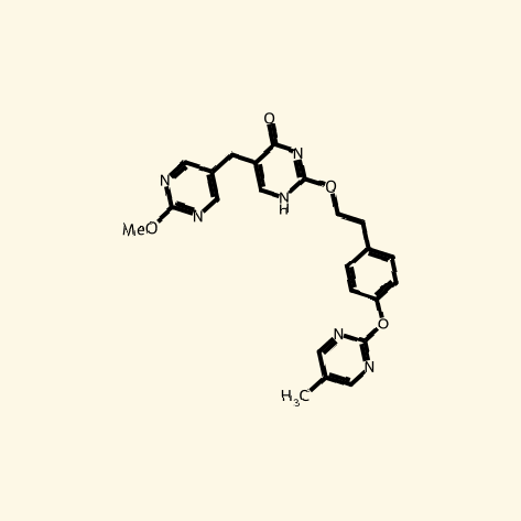 COc1ncc(Cc2c[nH]c(OCCc3ccc(Oc4ncc(C)cn4)cc3)nc2=O)cn1